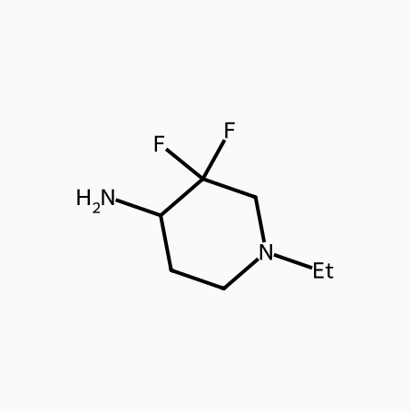 CCN1CCC(N)C(F)(F)C1